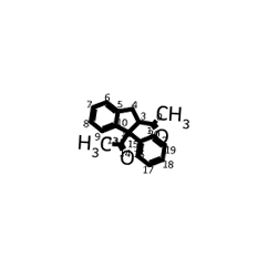 CC(=O)C1Cc2ccccc2C1(C(C)=O)c1ccccc1